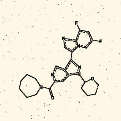 O=C(c1cc2c(cn1)c(-c1cnc3c(F)cc(F)cn13)nn2C1CCCCO1)N1CCCCCC1